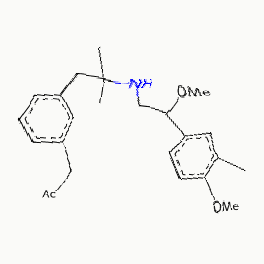 COc1ccc(C(CNC(C)(C)Cc2cccc(CC(C)=O)c2)OC)cc1C